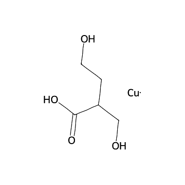 O=C(O)C(CO)CCO.[Cu]